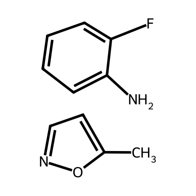 Cc1ccno1.Nc1ccccc1F